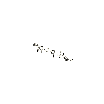 CCCCCCOc1ccc(CCc2ccc(C3CCC(c4ccc(OCCCC)c(F)c4F)CC3)cc2F)c(F)c1F